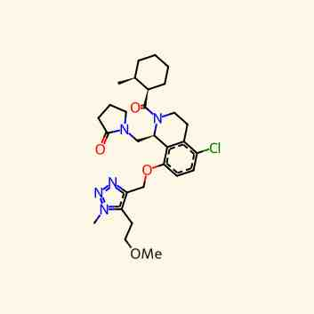 COCCc1c(COc2ccc(Cl)c3c2[C@@H](CN2CCCC2=O)N(C(=O)[C@@H]2CCCC[C@@H]2C)CC3)nnn1C